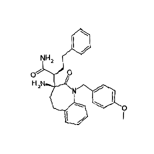 COc1ccc(CN2C(=O)[C@@](N)([C@H](CCc3ccccc3)C(N)=O)CCc3ccccc32)cc1